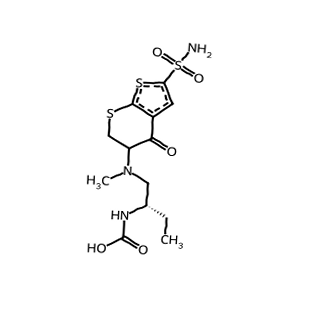 CC[C@@H](CN(C)C1CSc2sc(S(N)(=O)=O)cc2C1=O)NC(=O)O